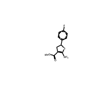 COC(=O)C1=C(N)SC(c2ccc(F)cc2)C1